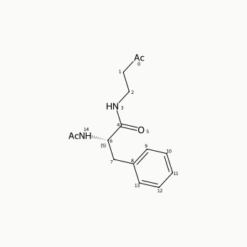 CC(=O)CCNC(=O)[C@H](Cc1ccccc1)NC(C)=O